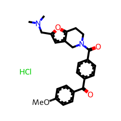 COc1ccc(C(=O)c2ccc(C(=O)N3CCc4oc(CN(C)C)cc4C3)cc2)cc1.Cl